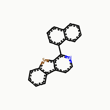 c1ccc2c(-c3nccc4c3sc3ccccc34)cccc2c1